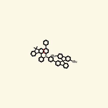 CC(C)(C)c1ccc2c(c1)C1(c3ccccc3-c3ccc(-c4ccc(N(c5ccc(-c6ccccc6)cc5)c5ccccc5-c5cccc6c5-c5ccccc5C6(C)C)cc4)cc31)c1cc(C(C)(C)C)ccc1-2